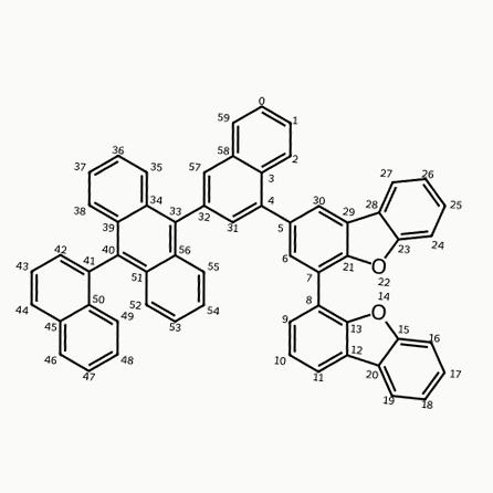 c1ccc2c(-c3cc(-c4cccc5c4oc4ccccc45)c4oc5ccccc5c4c3)cc(-c3c4ccccc4c(-c4cccc5ccccc45)c4ccccc34)cc2c1